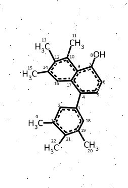 Cc1cc(-c2ccc(O)c3c(C)c(C)c(C)cc23)cc(C)c1C